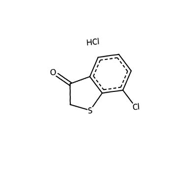 Cl.O=C1CSc2c(Cl)cccc21